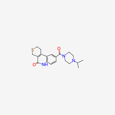 CC(C)N1CCN(C(=O)c2ccc3[nH]c(=O)c4c(c3c2)CCSC4)CC1